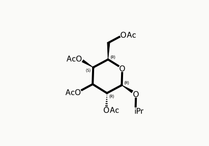 CC(=O)OC[C@H]1O[C@@H](OC(C)C)[C@H](OC(C)=O)C(OC(C)=O)[C@H]1OC(C)=O